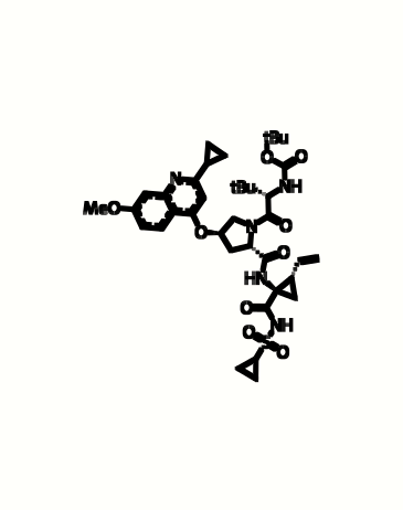 C=C[C@@H]1C[C@]1(NC(=O)[C@@H]1C[C@@H](Oc2cc(C3CC3)nc3cc(OC)ccc23)CN1C(=O)[C@@H](NC(=O)OC(C)(C)C)C(C)(C)C)C(=O)NS(=O)(=O)C1CC1